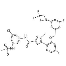 Cc1sc(C(=O)Nc2cc(Cl)cc(NS(C)(=O)=O)c2)cc1-c1ncc(F)cc1OCc1cc(F)cc(N2CC(F)(F)C2)c1